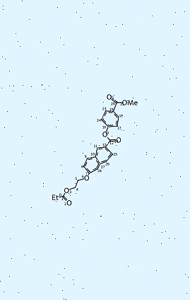 CCC(=O)OCCOc1ccc2cc(C(=O)Oc3ccc(C(=O)OC)cc3)ccc2c1